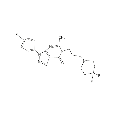 Cc1nc2c(cnn2-c2ccc(F)cc2)c(=O)n1CCCN1CCC(F)(F)CC1